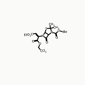 CCOC(=O)C=C(C(=O)OCC(Cl)(Cl)Cl)N1C(=O)C2C1SC(C)(C)N2C(=O)OC(C)(C)C